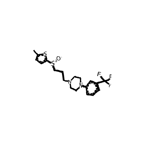 Cc1ccc([S+]([O-])CCCN2CCN(c3cccc(C(F)(F)F)c3)CC2)s1